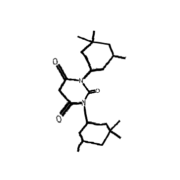 CC1CC(N2C(=O)CC(=O)N(C3CC(C)CC(C)(C)C3)C2=O)CC(C)(C)C1